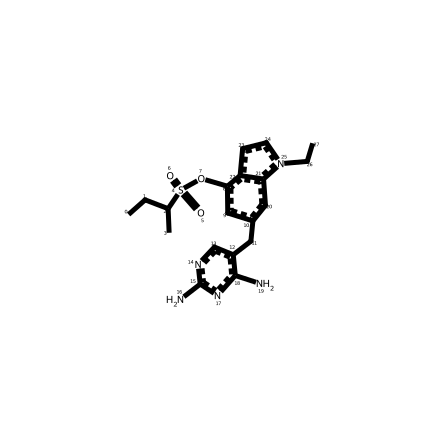 CCC(C)S(=O)(=O)Oc1cc(Cc2cnc(N)nc2N)cc2c1ccn2CC